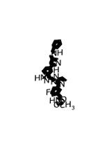 CS(=O)(=O)NCc1cc(F)cc(-c2nccc3[nH]c(-c4n[nH]c5ccc(-c6cncc(CNCc7ccccc7)c6)cc45)nc23)c1